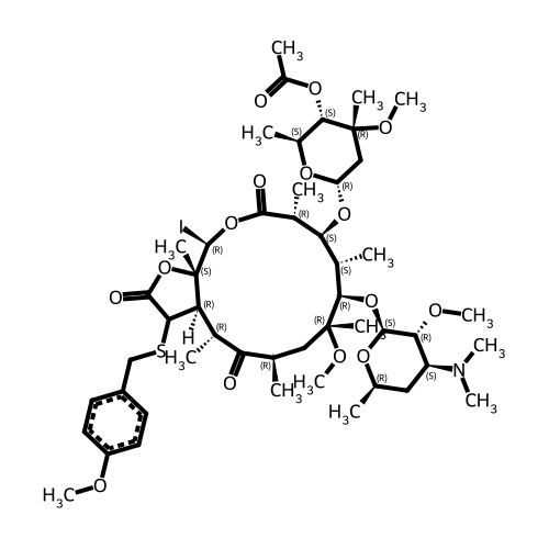 COc1ccc(CSC2C(=O)O[C@@]3(C)[C@H]2[C@@H](C)C(=O)[C@H](C)C[C@@](C)(OC)[C@H](O[C@@H]2O[C@H](C)C[C@H](N(C)C)[C@H]2OC)[C@@H](C)[C@H](O[C@H]2C[C@@](C)(OC)[C@@H](OC(C)=O)[C@H](C)O2)[C@@H](C)C(=O)O[C@@H]3I)cc1